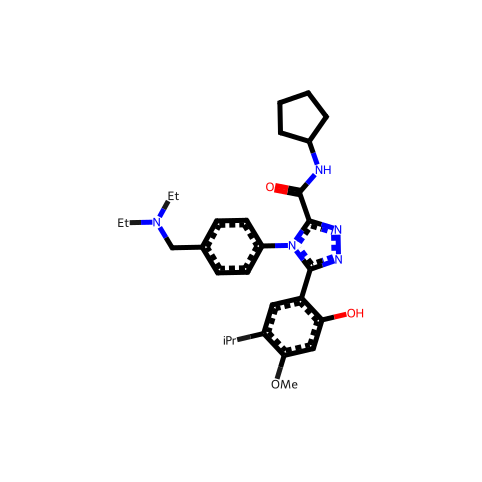 CCN(CC)Cc1ccc(-n2c(C(=O)NC3CCCC3)nnc2-c2cc(C(C)C)c(OC)cc2O)cc1